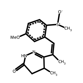 COc1ccc([S+](C)[O-])c(C=C(C)C2=NNC(=O)CC2C)c1